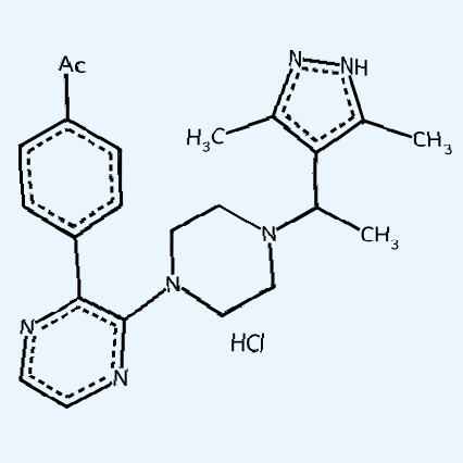 CC(=O)c1ccc(-c2nccnc2N2CCN(C(C)c3c(C)n[nH]c3C)CC2)cc1.Cl